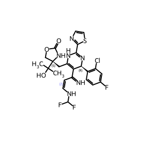 CC(C)(O)[C@]1(CC2=C(C(=N)/C=C\NC(F)F)[C@H](c3ccc(F)cc3Cl)N=C(c3nccs3)N2)COC(=O)N1